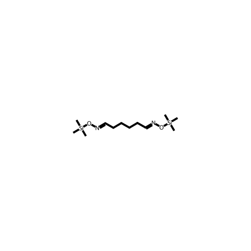 C[Si](C)(C)ON=CCCCCC=NO[Si](C)(C)C